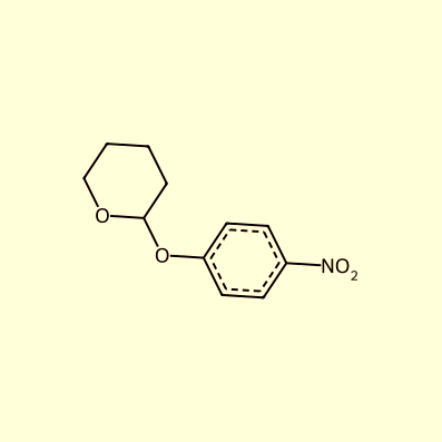 O=[N+]([O-])c1ccc(OC2CCCCO2)cc1